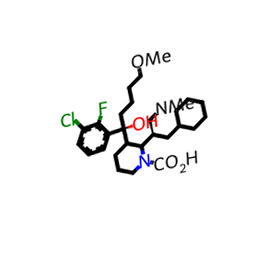 CNC[C@@H](CC1CCCCC1)C1C([C@@](O)(CCCCOC)c2cccc(Cl)c2F)CCCN1C(=O)O